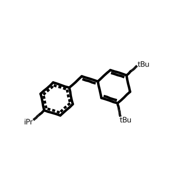 CC(C)c1ccc(C=C2C=C(C(C)(C)C)CC(C(C)(C)C)=C2)cc1